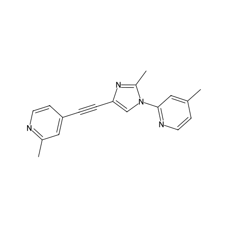 Cc1ccnc(-n2cc(C#Cc3ccnc(C)c3)nc2C)c1